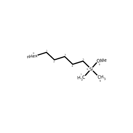 CCCCCCCCCCC[Si](C)(C)OC